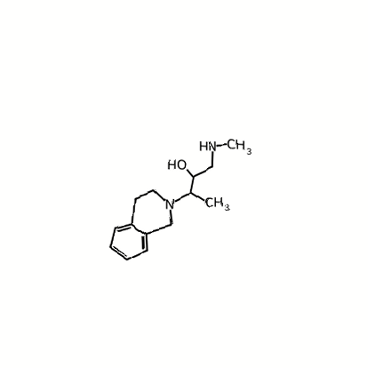 CNCC(O)C(C)N1CCc2ccccc2C1